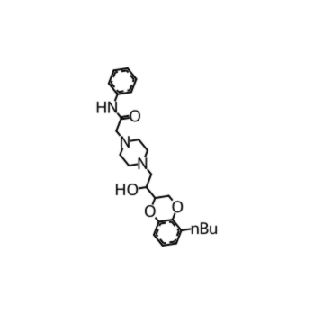 CCCCc1cccc2c1OCC(C(O)CN1CCN(CC(=O)Nc3ccccc3)CC1)O2